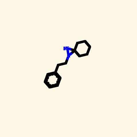 c1ccc(CCN2NC23CCCCC3)cc1